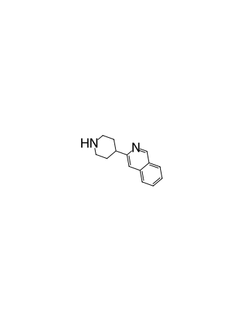 c1ccc2cc(C3CCNCC3)ncc2c1